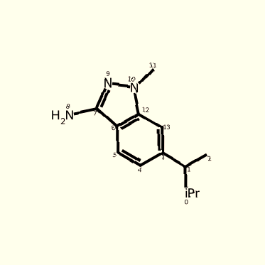 CC(C)C(C)c1ccc2c(N)nn(C)c2c1